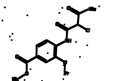 CC(C)Oc1cc(C(=O)OC(C)(C)C)ccc1NC(=O)C(Cl)C(=O)C(C)(C)C